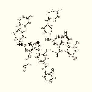 CC(C)Oc1nc(Nc2ccc(CN3CCN(C)CC3)cc2)nc2[nH]cc(-c3ccc(F)cc3F)c12.COCCOc1nc(Nc2ccc(CN3CCN(C)CC3)cc2)nc2[nH]cc(-c3ccc(OCn4ccccc4=O)cc3F)c12